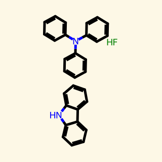 F.c1ccc(N(c2ccccc2)c2ccccc2)cc1.c1ccc2c(c1)[nH]c1ccccc12